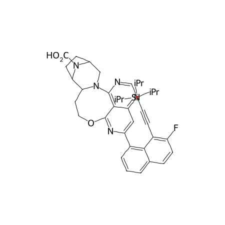 CC(C)[Si](C#Cc1c(F)ccc2cccc(-c3cc4ncnc5c4c(n3)OCCC3C4CCC(CN53)N4C(=O)O)c12)(C(C)C)C(C)C